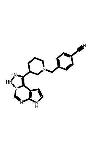 N#Cc1ccc(CN2CCCC(C3=C4c5cc[nH]c5N=CN4NN3)C2)cc1